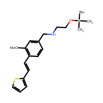 COc1cc(CNCCO[Si](C)(C)C(C)(C)C)ccc1C=Cc1cccs1